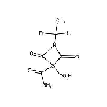 CCC(C)(CC)N1C(=O)S(C(N)=O)(C(=O)O)C1=O